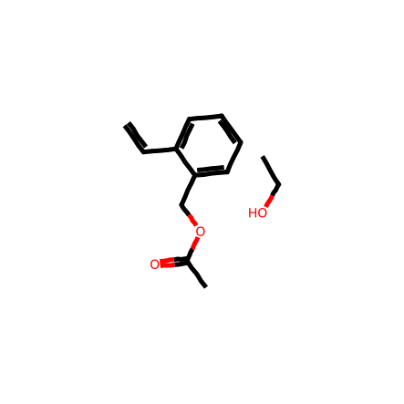 C=Cc1ccccc1COC(C)=O.CCO